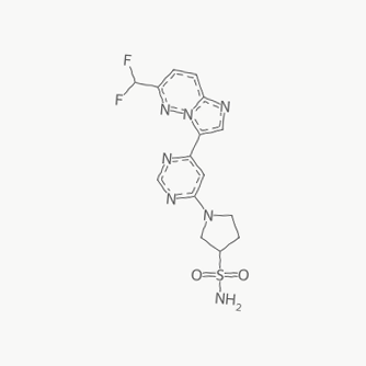 NS(=O)(=O)C1CCN(c2cc(-c3cnc4ccc(C(F)F)nn34)ncn2)C1